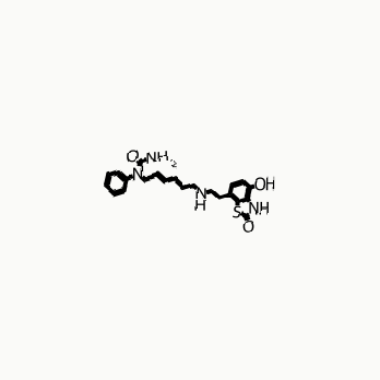 NC(=O)N(CCCCCCNCCc1ccc(O)c2[nH]c(=O)sc12)c1ccccc1